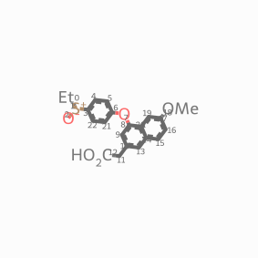 CC[S+]([O-])c1ccc(Oc2cc(CC(=O)O)cc3ccc(OC)cc23)cc1